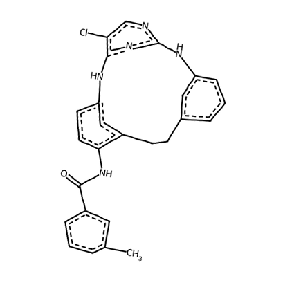 Cc1cccc(C(=O)Nc2ccc3cc2CCc2cccc(c2)Nc2ncc(Cl)c(n2)N3)c1